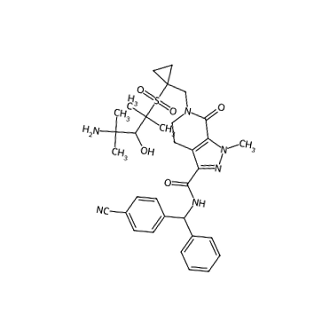 Cn1nc(C(=O)NC(c2ccccc2)c2ccc(C#N)cc2)c2c1C(=O)N(CC1(S(=O)(=O)C(C)(C)C(O)C(C)(C)N)CC1)CC2